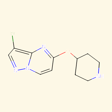 Brc1cnn2ccc(OC3CCNCC3)nc12